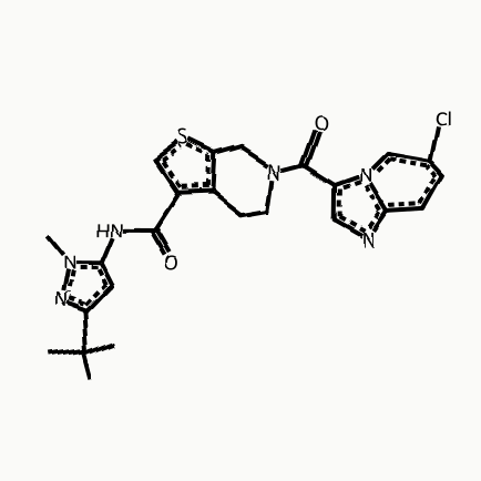 Cn1nc(C(C)(C)C)cc1NC(=O)c1csc2c1CCN(C(=O)c1cnc3ccc(Cl)cn13)C2